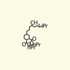 CCCOC(=O)C1CCC(CCCC(C)CCCC(C)C)CC1C(=O)OCCC